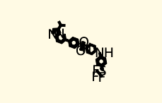 CC(C)c1cnc2ccc(-c3ccc(S(=O)(=O)N4CCC(Nc5ccc(SC(F)(F)F)cc5)CC4)cc3)cn12